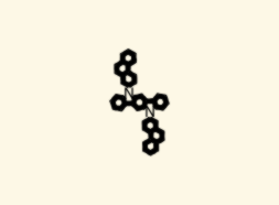 c1ccc2c(c1)ccc1cc(-n3c4ccccc4c4cc5c(cc43)c3ccccc3n5-c3ccc4c(ccc5ccccc54)c3)ccc12